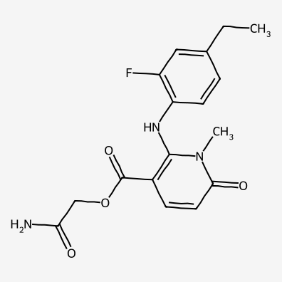 CCc1ccc(Nc2c(C(=O)OCC(N)=O)ccc(=O)n2C)c(F)c1